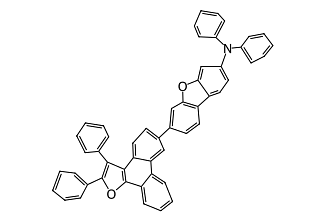 c1ccc(-c2oc3c4ccccc4c4cc(-c5ccc6c(c5)oc5cc(N(c7ccccc7)c7ccccc7)ccc56)ccc4c3c2-c2ccccc2)cc1